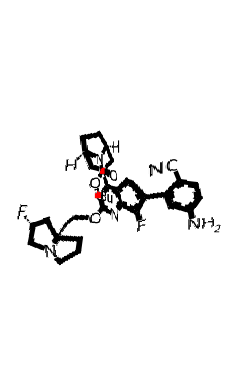 CC(C)(C)OC(=O)N1[C@@H]2CC[C@H]1CN(c1nc(OC[C@@]34CCCN3C[C@H](F)C4)nc3c(F)c(-c4cc(N)ccc4C#N)ccc13)C2